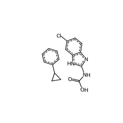 O=C(O)Nc1nc2ccc(Cl)cc2[nH]1.c1ccc(C2CC2)cc1